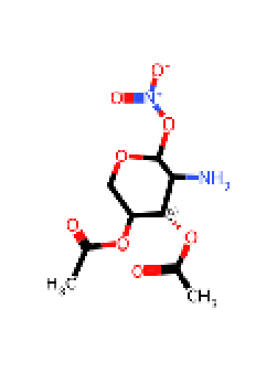 CC(=O)OC1COC(O[N+](=O)[O-])C(N)[C@@H]1OC(C)=O